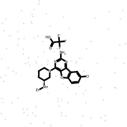 CCN[C@H]1CCCN(c2nc(N)nc3c2oc2ccc(Cl)cc23)C1.O=C(O)C(F)(F)F